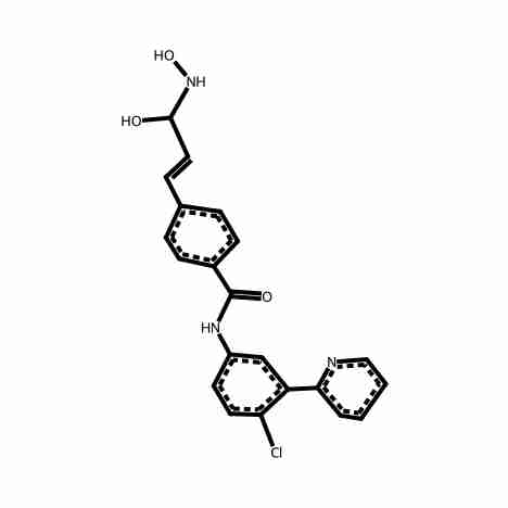 O=C(Nc1ccc(Cl)c(-c2ccccn2)c1)c1ccc(/C=C/C(O)NO)cc1